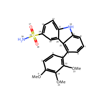 COc1ccc(-c2cccc3[nH]c4ccc(S(N)(=O)=O)cc4c23)c(OC)c1OC